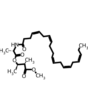 CC/C=C\C/C=C\C/C=C\CC/C=C\C/C=C\CCC(=O)N[C@@H](C)C(=O)O[C@H](C)[C@H](C)C(=O)OC